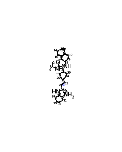 CC(C)NC(=O)C(Nc1ccc2ncccc2c1)c1ccc(/C=C/C(=O)Nc2ccccc2N)cc1